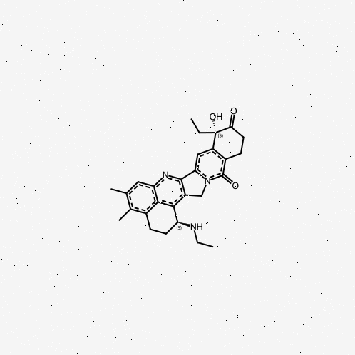 CCN[C@H]1CCc2c(C)c(C)cc3nc4c(c1c23)Cn1c-4cc2c(c1=O)CCC(=O)[C@]2(O)CC